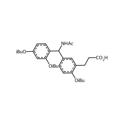 CC(=O)NC(c1ccc(OCC(C)C)c(CCC(=O)O)c1)c1ccc(OCC(C)C)cc1OCC(C)C